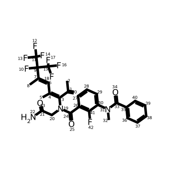 C=C(C)/C(=C(C)\C=C(/C)C(F)(C(F)(F)F)C(F)(F)F)N(CC(N)=O)C(=O)c1cccc(N(C)C(=O)c2ccccc2)c1F